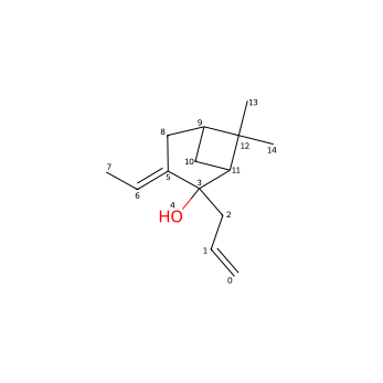 C=CCC1(O)C(=CC)CC2CC1C2(C)C